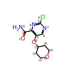 NC(=O)c1nc(Cl)ncc1OC1CCOCC1